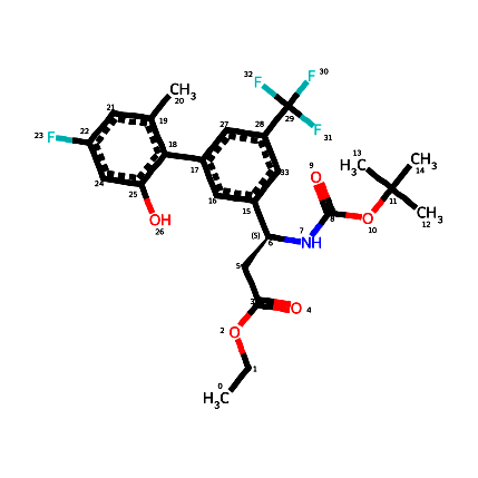 CCOC(=O)C[C@H](NC(=O)OC(C)(C)C)c1cc(-c2c(C)cc(F)cc2O)cc(C(F)(F)F)c1